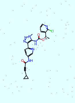 C[C@@H](OC(=O)Nc1c(-c2ccc(NC(=O)C#CC3CC3)cn2)nnn1C)c1cccnc1Cl